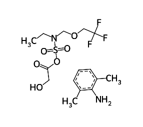 CCN(COCC(F)(F)F)S(=O)(=O)OC(=O)CO.Cc1cccc(C)c1N